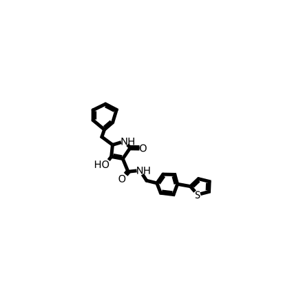 O=C(NCc1ccc(-c2cccs2)cc1)C1=C(O)C(Cc2ccccc2)NC1=O